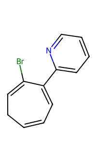 BrC1=CCC=CC=C1c1ccccn1